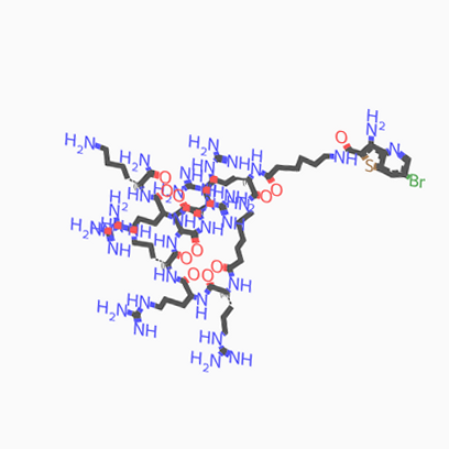 N=C(N)NCCCC(NC(=O)[C@@H](CCCNC(=N)N)NC(=O)CCCCCNC(=O)[C@@H](CCCNC(=N)N)NC(=O)CCCCCNC(=O)c1sc2cc(Br)cnc2c1N)C(=O)N[C@H](CCCNC(=N)N)C(=O)NC(CCCNC(=N)N)C(=O)N[C@H](CCCNC(=N)N)C(=O)NC(CCCNC(=N)N)C(=O)N[C@H](CCCCN)C(N)=O